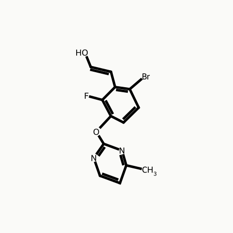 Cc1ccnc(Oc2ccc(Br)c(/C=C/O)c2F)n1